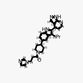 CC(C)c1c(-c2ccnc3[nH]ncc23)[nH]c2ccc(C3CCN(C(=O)CCn4ccnc4)CC3)cc12